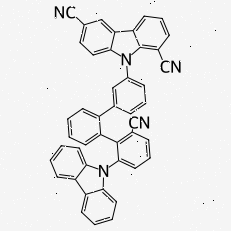 N#Cc1ccc2c(c1)c1cccc(C#N)c1n2-c1cccc(-c2ccccc2-c2c(C#N)cccc2-n2c3ccccc3c3ccccc32)c1